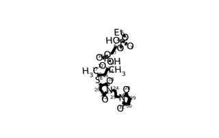 CCOP(=O)(O)OCCOP(=O)(O)OC(C)CC(C)SC1CC(=O)N(CCN2C(=O)C=CC2=O)C1=O